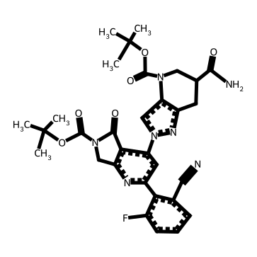 CC(C)(C)OC(=O)N1Cc2nc(-c3c(F)cccc3C#N)cc(-n3cc4c(n3)CC(C(N)=O)CN4C(=O)OC(C)(C)C)c2C1=O